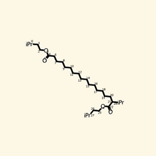 CC(C)CCOC(=O)CCCCCCCCCCCCCCCC(C(=O)OCCC(C)C)C(C)C